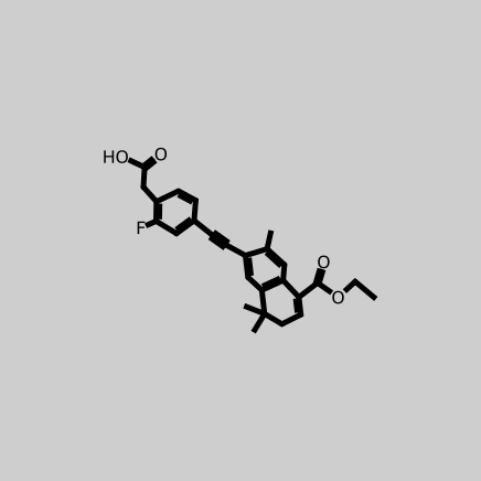 CCOC(=O)C1=CCC(C)(C)c2cc(C#Cc3ccc(CC(=O)O)c(F)c3)c(C)cc21